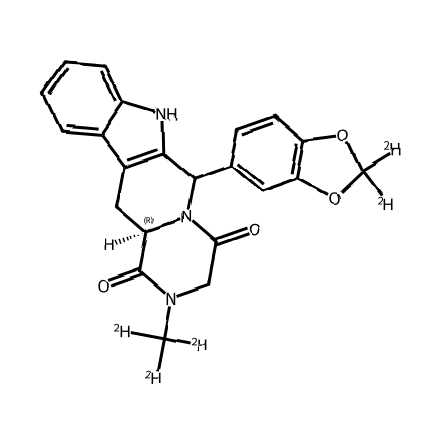 [2H]C1([2H])Oc2ccc(C3c4[nH]c5ccccc5c4C[C@@H]4C(=O)N(C([2H])([2H])[2H])CC(=O)N34)cc2O1